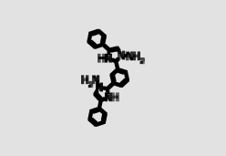 NN1C=C(c2ccccc2)NC1c1cccc(C2NC(c3ccccc3)=CN2N)c1